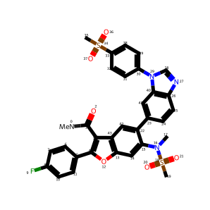 CNC(=O)c1c(-c2ccc(F)cc2)oc2cc(N(C)S(C)(=O)=O)c(-c3ccc4ncn(-c5ccc(S(C)(=O)=O)cc5)c4c3)cc12